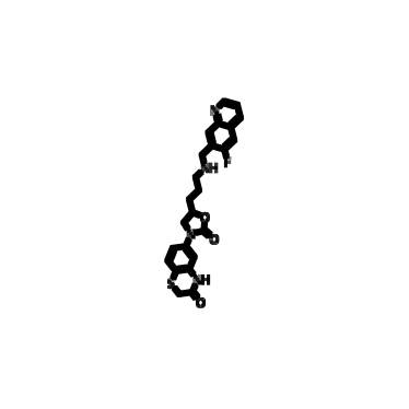 O=C1CSc2ccc(N3CC(CCCNCc4cc5ncccc5cc4F)OC3=O)cc2N1